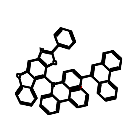 c1ccc(-c2nc3cc4oc5ccccc5c4c(N(c4ccc(-c5cc6ccccc6c6ccccc56)cc4)c4ccccc4-c4ccccc4)c3o2)cc1